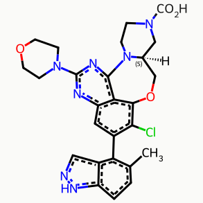 Cc1ccc2[nH]ncc2c1-c1cc2nc(N3CCOCC3)nc3c2c(c1Cl)OC[C@@H]1CN(C(=O)O)CCN31